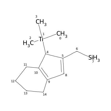 [CH3][Ti]([CH3])([CH3])[CH]1C(C[SiH3])=CC2=C1CCCC2